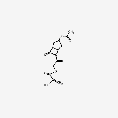 C=C(C)C(=O)OCC(=O)N1C(=O)C2CC(OC(C)=O)CC21